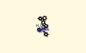 CC1(C)C2CC3=C(C=C2C2C=CC=C(C4NC(c5ccccc5)NC(c5ccccc5)N4)C21)C1(CCCCC1)c1ccccc13